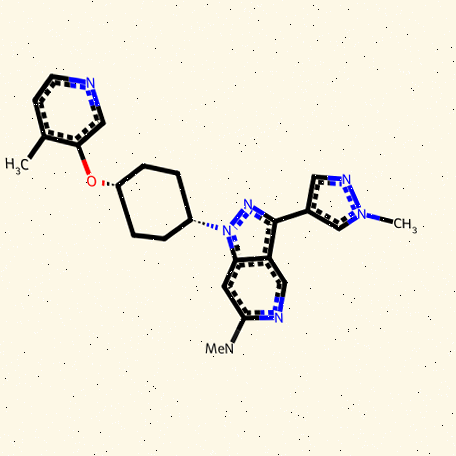 CNc1cc2c(cn1)c(-c1cnn(C)c1)nn2[C@H]1CC[C@@H](Oc2cnccc2C)CC1